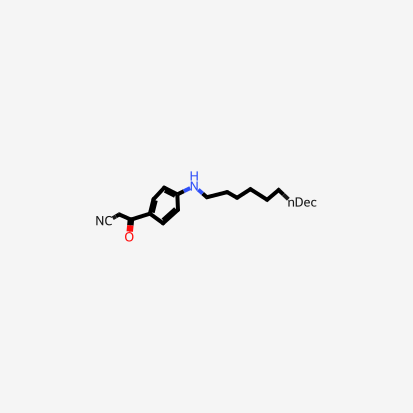 CCCCCCCCCCCCCCCCNc1ccc(C(=O)CC#N)cc1